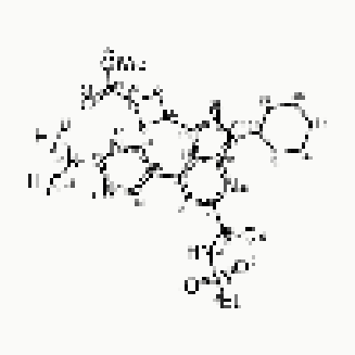 CCS(=O)(=O)NC(=O)c1cc(-c2cnc(N(C)C)nc2)c2c(C3CN(C(=O)OC)C3)nn(C3CCCCC3)c2n1